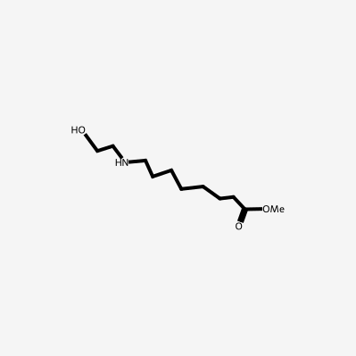 COC(=O)CCCCCCCNCCO